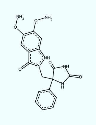 NOc1cc2[nH]n(CC3(c4ccccc4)NC(=O)NC3=O)c(=O)c2cc1ON